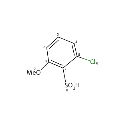 COc1cccc(Cl)c1S(=O)(=O)O